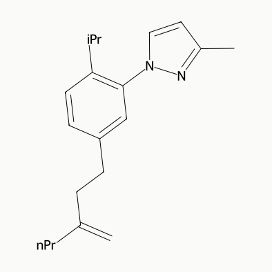 C=C(CCC)CCc1ccc(C(C)C)c(-n2ccc(C)n2)c1